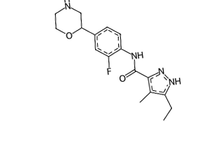 CCc1[nH]nc(C(=O)Nc2ccc(C3CNCCO3)cc2F)c1C